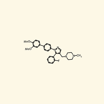 COc1ccc(-c2ccc(-n3ncc(CN4CCN(C)CC4)c3-c3ccccc3F)cc2)cc1OC